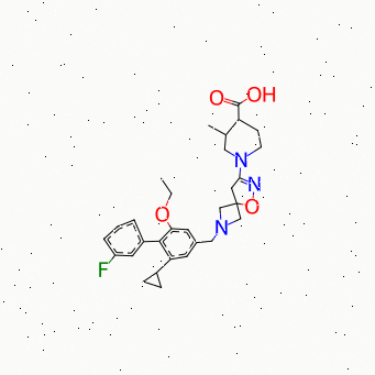 CCOc1cc(CN2CC3(CC(N4CCC(C(=O)O)C(C)C4)=NO3)C2)cc(C2CC2)c1-c1cccc(F)c1